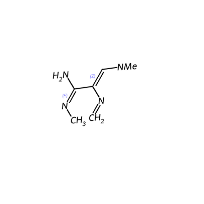 C=NC(=C\NC)/C(N)=N\C